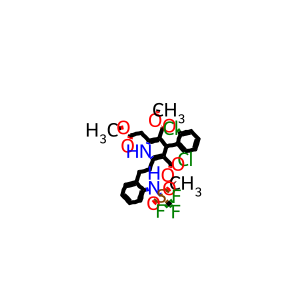 COC(=O)CC1=C(C(=O)OC)C(c2c(Cl)cccc2Cl)C(C(=O)OC)=C(CCc2ccccc2NS(=O)(=O)C(F)(F)F)N1